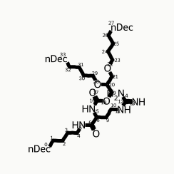 CCCCCCCCCCCCCCNC(=O)C(CCNC(=N)N)NC(=O)OCC(COCCCCCCCCCCCCCC)OCCCCCCCCCCCCCC